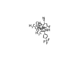 C[C@H](NC(=O)OC(C)(C)C)[C@H](Nc1nc(Cl)c(C#N)cc1F)c1ccc(C(F)(F)F)cc1